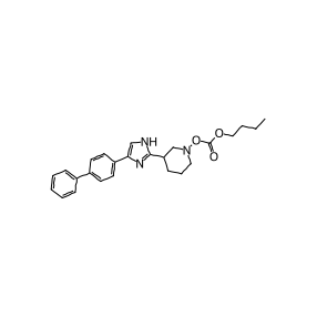 CCCCOC(=O)ON1CCCC(c2nc(-c3ccc(-c4ccccc4)cc3)c[nH]2)C1